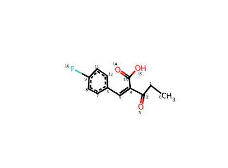 CCC(=O)/C(=C/c1ccc(F)cc1)C(=O)O